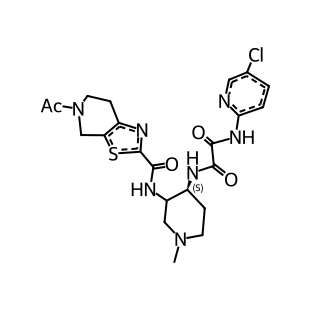 CC(=O)N1CCc2nc(C(=O)NC3CN(C)CC[C@@H]3NC(=O)C(=O)Nc3ccc(Cl)cn3)sc2C1